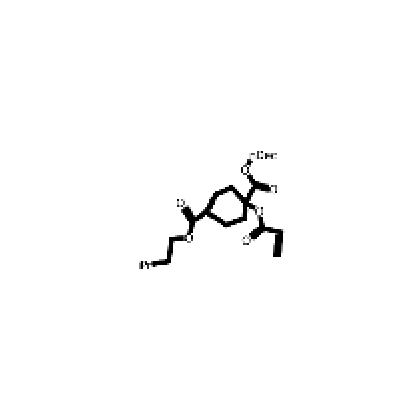 C=CC(=O)OC1(C(=O)OCCCCCCCCCC)CCC(C(=O)OCCC(C)C)CC1